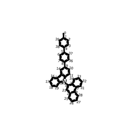 Cc1ccc(-c2ccc(-c3ccc4c(c3)c3ccccc3n4-c3cc4ccccc4c4ccccc34)cc2)cc1